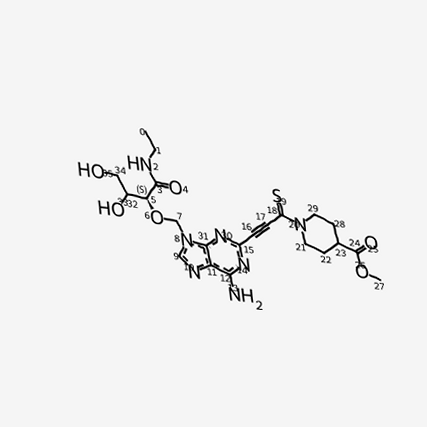 CCNC(=O)[C@@H](OCn1cnc2c(N)nc(C#CC(=S)N3CCC(C(=O)OC)CC3)nc21)C(O)CO